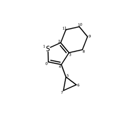 c1sc2c(c1C1CC1)CCCC2